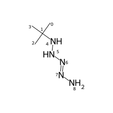 CC(C)(C)NN/N=N/N